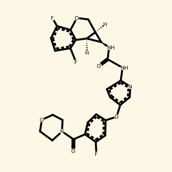 O=C(Nc1ccc(Oc2ccc(C(=O)N3CCOCC3)c(F)c2)cn1)N[C@@H]1[C@@H]2COc3c(F)ccc(F)c3[C@@H]21